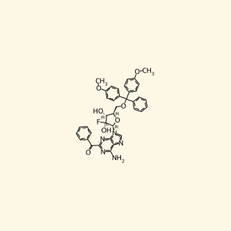 COc1ccc(C(OC[C@H]2O[C@@H](n3cnc4c(N)nc(C(=O)c5ccccc5)nc43)[C@@](O)(F)[C@@H]2O)(c2ccccc2)c2ccc(OC)cc2)cc1